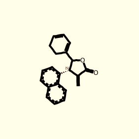 C=C1C(=O)OC(C2=CC=CCC2)[C@H]1c1cccc2ccccc12